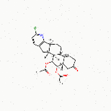 CC(=O)OC1[C@@H]2[C@H](CC[C@]3(C)c4nc(Cl)ccc4C[C@@H]23)[C@@]2(C)CCC(=O)C[C@@H]2[C@H]1OC(C)=O